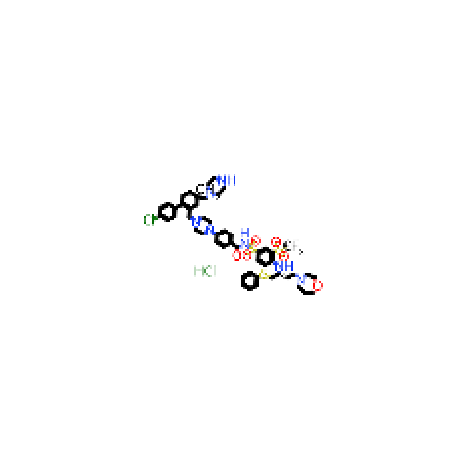 C[C@@]1(CN2CCNCC2)CCC(c2ccc(Cl)cc2)=C(CN2CCN(c3ccc(C(=O)NS(=O)(=O)c4ccc(N[C@H](CCN5CCCOCC5)CSc5ccccc5)c(S(=O)(=O)C(F)(F)F)c4)cc3)CC2)C1.Cl